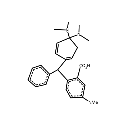 CNc1ccc(C(C2=CCC(N(C)C)(N(C)C)C=C2)c2ccccc2)c(C(=O)O)c1